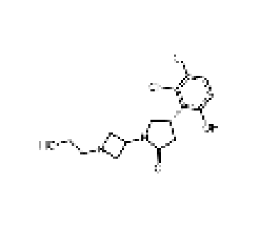 O=C1C[C@@H](c2c(O)ccc(Cl)c2Cl)CN1C1CN(CCO)C1